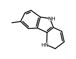 Cc1ccc2[nH]c3c(c2c1)NCC=C3